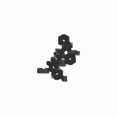 COc1cccc(OC)c1-n1c(NS(=O)(=O)C(C)[C@H](OC)c2ncc(Cl)cn2)nnc1-c1c(C)nc2ccccn12